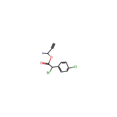 C#CC(I)OC(=O)C(Br)c1ccc(Cl)cc1